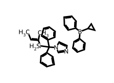 CC=C(C)[SiH2]C(c1ccccc1)(c1ccccc1)n1ccnc1.c1ccc(B(c2ccccc2)C2CC2)cc1